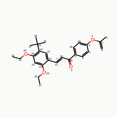 C=C(C)Oc1ccc(C(=O)/C=C/c2cc(C(C)(C)C)c(OCC)cc2OCC)cc1